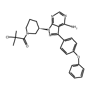 CC(C)(Cl)C(=O)N1CCC[C@@H](n2nc(-c3ccc(Oc4ccccc4)cc3)c3c(N)ncnc32)C1